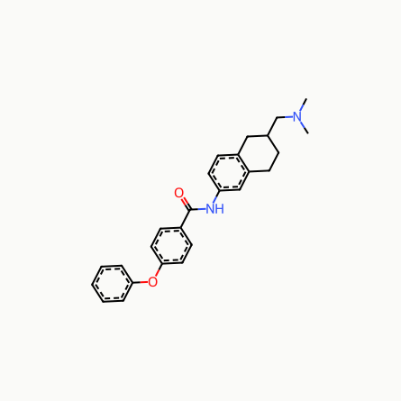 CN(C)CC1CCc2cc(NC(=O)c3ccc(Oc4ccccc4)cc3)ccc2C1